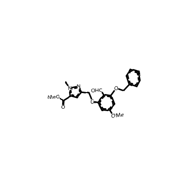 COC(=O)c1cc(COc2cc(OC)cc(OCc3ccccc3)c2C=O)nn1C